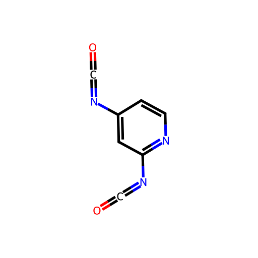 O=C=Nc1ccnc(N=C=O)c1